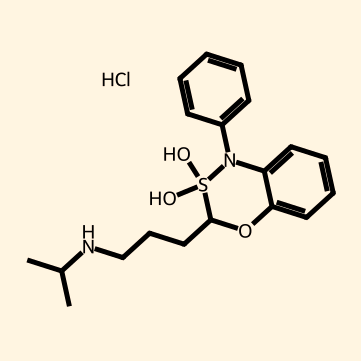 CC(C)NCCCC1Oc2ccccc2N(c2ccccc2)S1(O)O.Cl